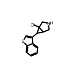 ClC12CNCC1C2c1csc2ccccc12